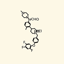 Cc1ccc(N(C=O)N2CCN(C)CC2)cc1C1CCN(Cc2ccc(Oc3cc(F)c(F)cc3F)cc2)CC1.Cl.Cl